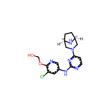 OCOc1ncc(Nc2nccc(N3C[C@H]4CC[C@@H](C3)N4)n2)cc1Cl